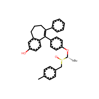 CCCC[C@@H](Oc1ccc(C2=C(c3ccccc3)CCCc3cc(O)ccc32)cc1)[S+]([O-])Cc1ccc(C)cc1